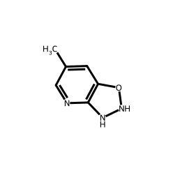 Cc1cnc2c(c1)ONN2